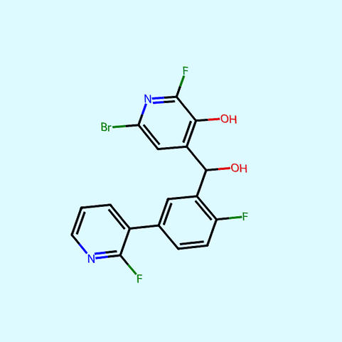 Oc1c(C(O)c2cc(-c3cccnc3F)ccc2F)cc(Br)nc1F